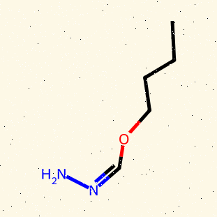 CCCCO/C=N\N